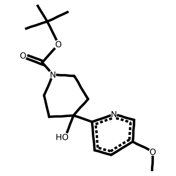 COc1ccc(C2(O)CCN(C(=O)OC(C)(C)C)CC2)nc1